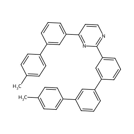 Cc1ccc(-c2cccc(-c3cccc(-c4nccc(-c5cccc(-c6ccc(C)cc6)c5)n4)c3)c2)cc1